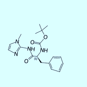 Cn1ccnc1NC(=O)[C@H](Cc1ccccc1)NC(=O)OC(C)(C)C